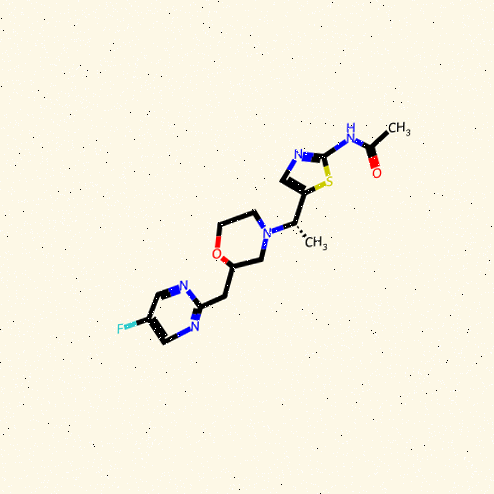 CC(=O)Nc1ncc([C@H](C)N2CCOC(Cc3ncc(F)cn3)C2)s1